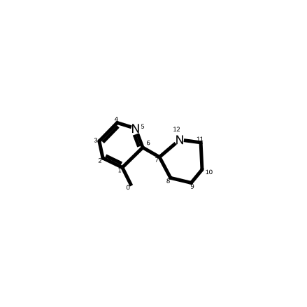 Cc1cccnc1C1CCCC[N]1